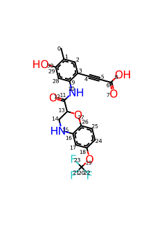 Cc1cc(C#CC(=O)O)c(NC(=O)C2CNc3cc(OC(F)(F)F)ccc3O2)cc1O